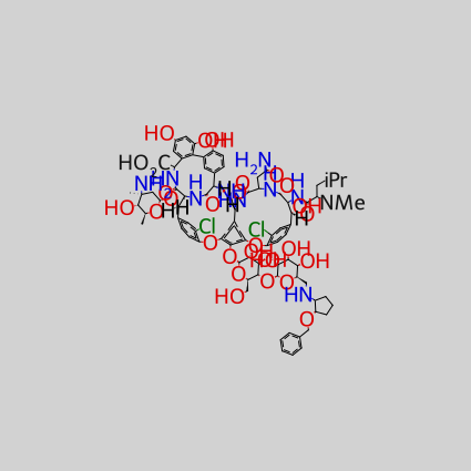 CN[C@H](CC(C)C)C(=O)NC1C(=O)NC(CC(N)=O)C(=O)N[C@H]2C(=O)N[C@H]3C(=O)N[C@H](C(=O)NC(C(=O)O)c4cc(O)cc(O)c4-c4cc3ccc4O)[C@H](O[C@H]3C[C@](C)(N)[C@@H](O)[C@H](C)O3)c3ccc(c(Cl)c3)Oc3cc2cc(c3O[C@@H]2O[C@H](CO)[C@@H](O[C@@H]3O[C@H](CNC4CCC[C@H]4OCc4ccccc4)[C@H](O)[C@H](O)[C@H]3O)[C@H](O)[C@H]2O)Oc2ccc(cc2Cl)[C@H]1O